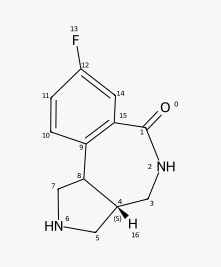 O=C1NC[C@@H]2CNCC2c2ccc(F)cc21